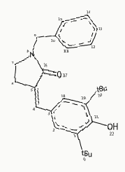 CC(C)(C)c1cc(C=C2CCN(Cc3ccccc3)C2=O)cc(C(C)(C)C)c1O